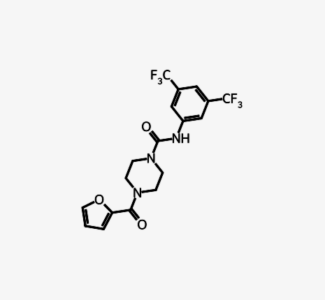 O=C(Nc1cc(C(F)(F)F)cc(C(F)(F)F)c1)N1CCN(C(=O)c2ccco2)CC1